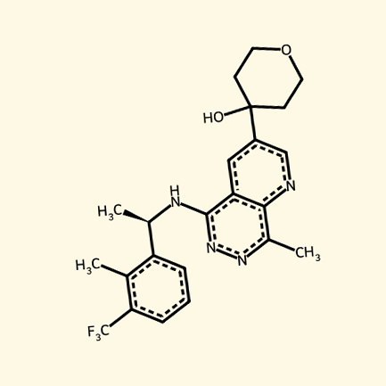 Cc1c([C@@H](C)Nc2nnc(C)c3ncc(C4(O)CCOCC4)cc23)cccc1C(F)(F)F